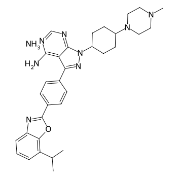 CC(C)c1cccc2nc(-c3ccc(-c4nn(C5CCC(N6CCN(C)CC6)CC5)c5ncnc(N)c45)cc3)oc12.N